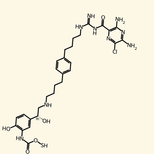 N=C(NCCCCc1ccc(CCCCNC[C@H](O)c2ccc(O)c(NC(=O)OS)c2)cc1)NC(=O)c1nc(Cl)c(N)nc1N